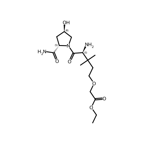 CCOC(=O)COCCC(C)(C)[C@H](N)C(=O)N1C[C@H](O)C[C@H]1C(N)=O